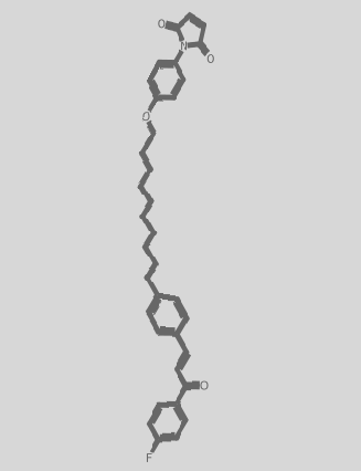 O=C(C=Cc1ccc(CCCCCCCCCCOc2ccc(N3C(=O)C=CC3=O)cc2)cc1)c1ccc(F)cc1